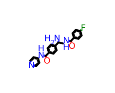 NC(CNC(=O)c1ccc(F)cc1)c1ccc(C(=O)Nc2ccncc2)cc1